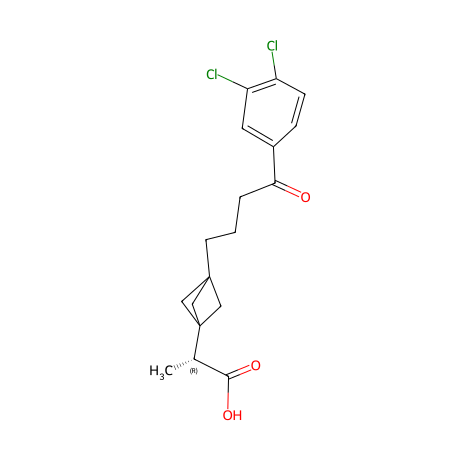 C[C@@H](C(=O)O)C12CC(CCCC(=O)c3ccc(Cl)c(Cl)c3)(C1)C2